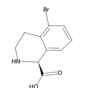 O=C(O)[C@H]1NCCc2c(Br)cccc21